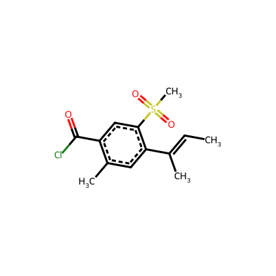 CC=C(C)c1cc(C)c(C(=O)Cl)cc1S(C)(=O)=O